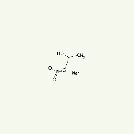 CC(O)O[PH](=O)[O-].[Na+]